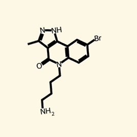 Cc1n[nH]c2c1c(=O)n(CCCCN)c1ccc(Br)cc21